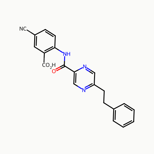 N#Cc1ccc(NC(=O)c2cnc(CCc3ccccc3)cn2)c(C(=O)O)c1